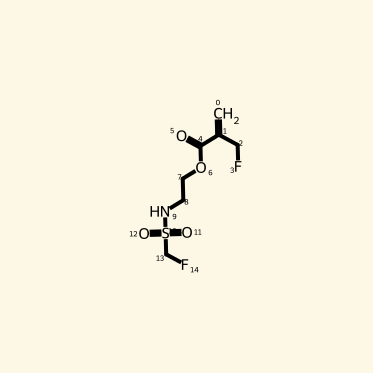 C=C(CF)C(=O)OCCNS(=O)(=O)CF